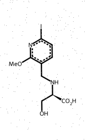 COc1nc(I)ccc1CN[C@H](CO)C(=O)O